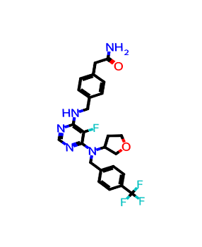 NC(=O)Cc1ccc(CNc2ncnc(N(Cc3ccc(C(F)(F)F)cc3)C3CCOC3)c2F)cc1